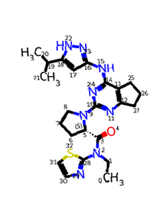 CCN(C(=O)[C@@H]1CCCN1c1nc2c(c(Nc3cc(C(C)C)[nH]n3)n1)CCC2)c1nccs1